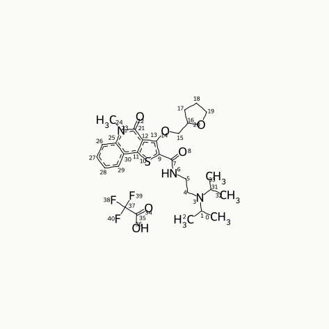 CC(C)N(CCNC(=O)c1sc2c(c1OCC1CCCO1)c(=O)n(C)c1ccccc21)C(C)C.O=C(O)C(F)(F)F